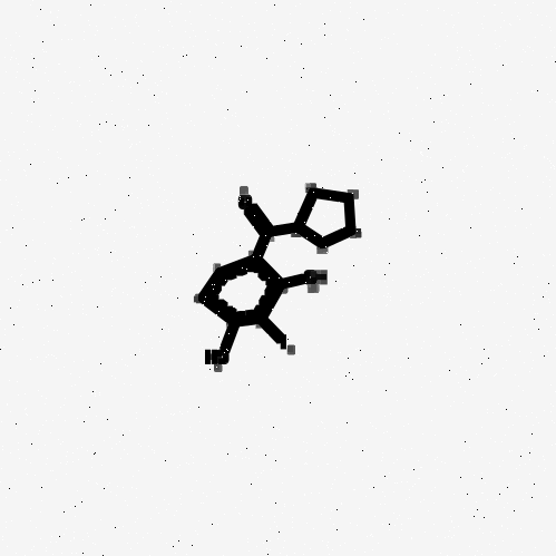 O=C(c1ccc(O)c(I)c1O)C1CCCC1